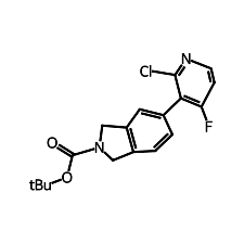 CC(C)(C)OC(=O)N1Cc2ccc(-c3c(F)ccnc3Cl)cc2C1